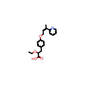 CCOC(Cc1ccc(OCC=C(C)c2ccccn2)cc1)C(=O)O